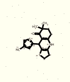 CC1(C)CCC2=C(C1=O)C(c1cc(C#N)cs1)C1=C(CCS1)N2